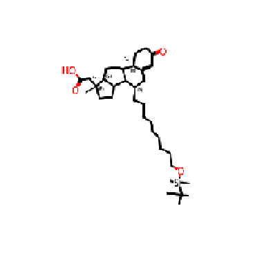 CC(C)(C)[Si](C)(C)OCCCCCCCCC[C@@H]1CC2=CC(=O)CC[C@]2(C)C2CC[C@@]3(C)C(CC[C@]3(C)CC(=O)O)C21